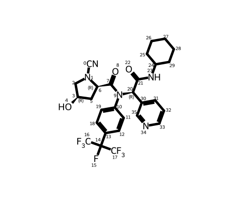 N#CN1C[C@H](O)C[C@@H]1C(=O)N(c1ccc(C(F)(C(F)(F)F)C(F)(F)F)cc1)[C@@H](C(=O)NC1CCCCC1)c1cccnc1